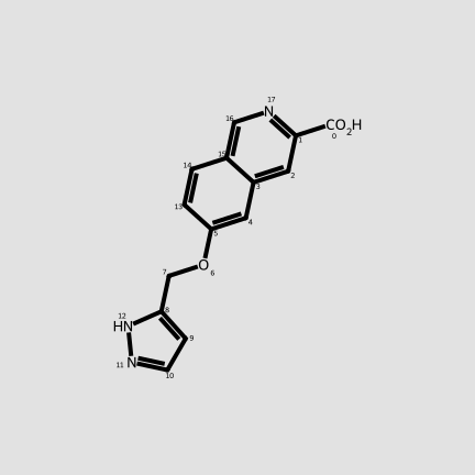 O=C(O)c1cc2cc(OCc3ccn[nH]3)ccc2cn1